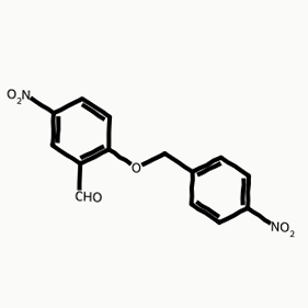 O=Cc1cc([N+](=O)[O-])ccc1OCc1ccc([N+](=O)[O-])cc1